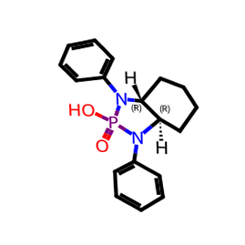 O=P1(O)N(c2ccccc2)[C@@H]2CCCC[C@H]2N1c1ccccc1